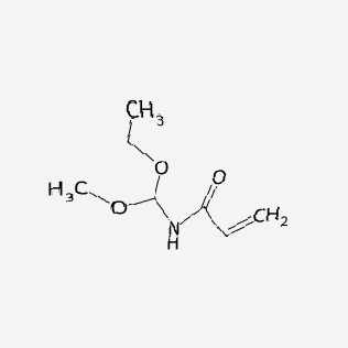 C=CC(=O)NC(OC)OCC